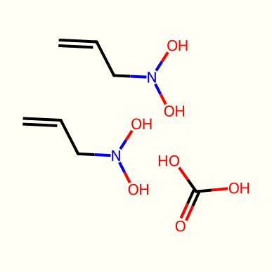 C=CCN(O)O.C=CCN(O)O.O=C(O)O